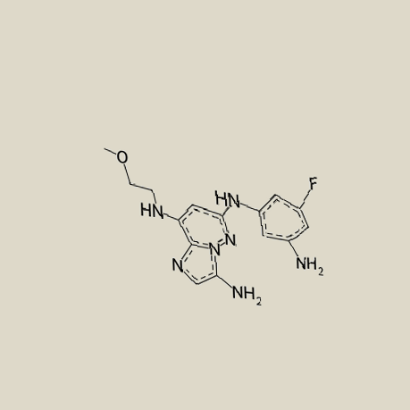 COCCNc1cc(Nc2cc(N)cc(F)c2)nn2c(N)cnc12